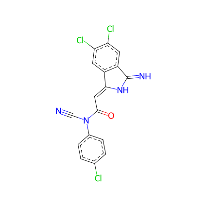 N#CN(C(=O)C=C1NC(=N)c2cc(Cl)c(Cl)cc21)c1ccc(Cl)cc1